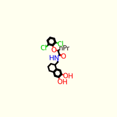 CCCC(Oc1c(Cl)cccc1Cl)C(=O)NCC1CCCc2cc(O)c(O)cc21